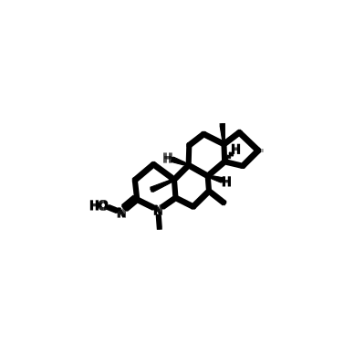 CC1CC2N(C)C(=NO)CC[C@]2(C)[C@@H]2CC[C@]3(C)C[CH]C[C@H]3[C@H]12